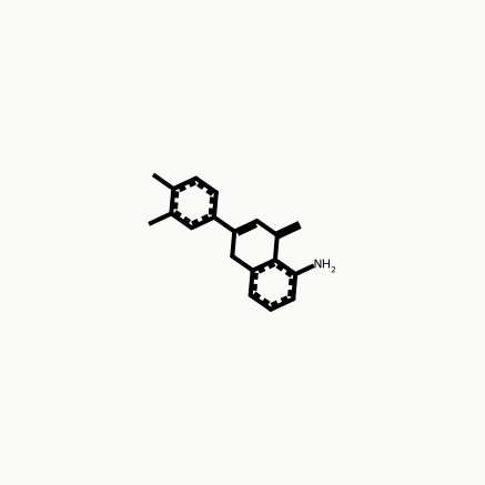 C=C1C=C(c2ccc(C)c(C)c2)Cc2cccc(N)c21